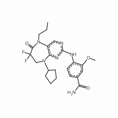 CCCN1C(=O)C(F)(F)CN(C2CCCC2)c2nc(Nc3ccc(C(N)=O)cc3OC)ncc21